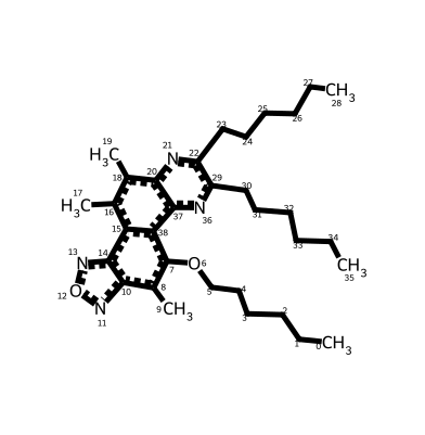 CCCCCCOc1c(C)c2nonc2c2c(C)c(C)c3nc(CCCCCC)c(CCCCCC)nc3c12